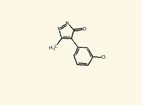 CC1=C(c2cccc(Cl)c2)C(=O)N=N1